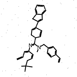 C=C/C=C(\C=C/CC(C)(C)C)/N=C(/C1C=CC(C2=Cc3ccccc3C2)=CC1)N(C)Cc1ccc(C=C)cc1